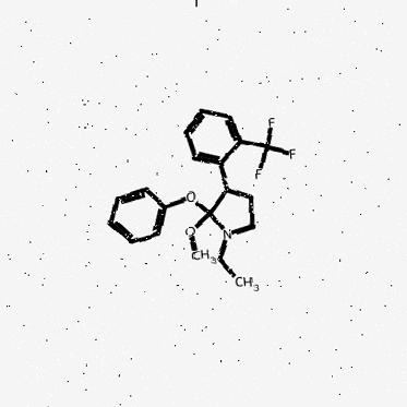 CCN1CCC(c2ccccc2C(F)(F)F)C1(OC)Oc1ccccc1